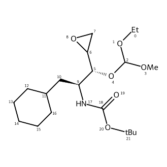 CCOC(OC)O[C@@H](C1CO1)[C@H](CC1CCCCC1)NC(=O)OC(C)(C)C